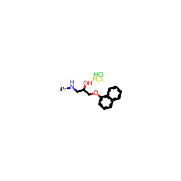 CC(C)NCC(O)COc1cccc2ccccc12.Cl.S